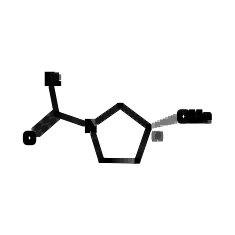 CCC(=O)N1CC[C@@H](OC)C1